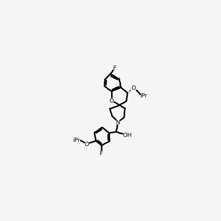 CC(C)Oc1ccc(C(O)N2CCC3(CC2)C[C@@H](OC(C)C)c2cc(F)ccc2O3)cc1F